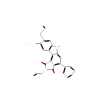 C=CCc1cc2c(cc1OC)c1c3c(c(-c4ccccc4)cc1n2C)C(=O)N(CC=C)C3=O